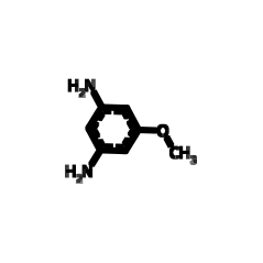 COc1cc(N)cc(N)c1